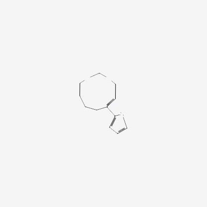 C1=C[N]C(/C2=C/CCCCCCCC2)=C1